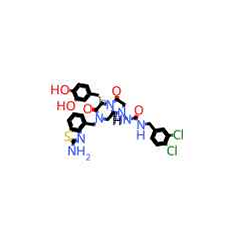 Nc1nc2c(CN3C[C@@H]4N(NC(=O)NCc5ccc(Cl)c(Cl)c5)CC(=O)N4[C@@H](Cc4ccc(O)c(O)c4)C3=O)cccc2s1